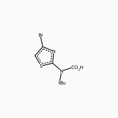 CC(C)(C)N(C(=O)O)c1nc(Br)cs1